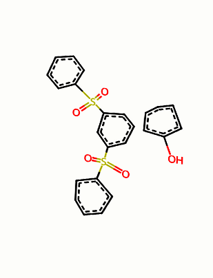 O=S(=O)(c1ccccc1)c1cccc(S(=O)(=O)c2ccccc2)c1.Oc1ccccc1